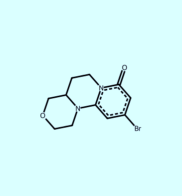 O=c1cc(Br)cc2n1CCC1COCCN21